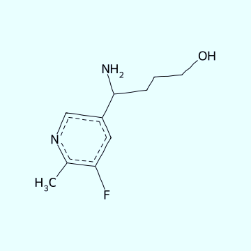 Cc1ncc(C(N)CCCO)cc1F